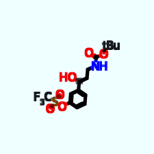 CC(C)(C)OC(=O)NCC[C@@H](O)c1cccc(OS(=O)(=O)C(F)(F)F)c1